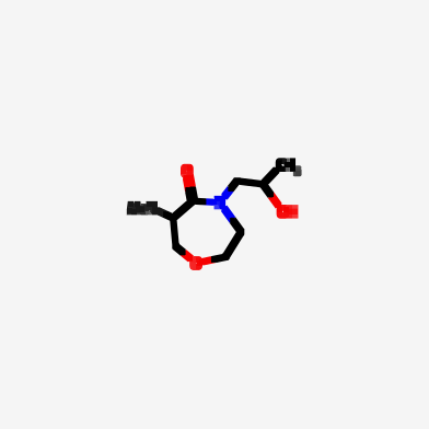 CNC1COCCN(CC(C)O)C1=O